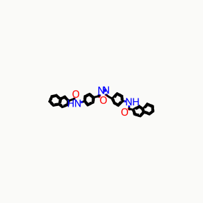 O=C(Nc1ccc(-c2nnc(-c3ccc(NC(=O)c4ccc5ccccc5c4)cc3)o2)cc1)c1ccc2ccccc2c1